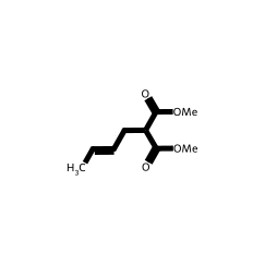 C/C=C/CC(C(=O)OC)C(=O)OC